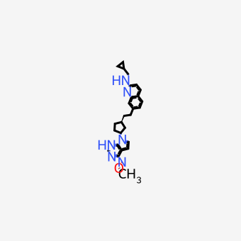 CO/N=c1\nc[nH]c2c1ccn2[C@H]1CC[C@@H](CCc2ccc3ccc(NCC4CC4)nc3c2)C1